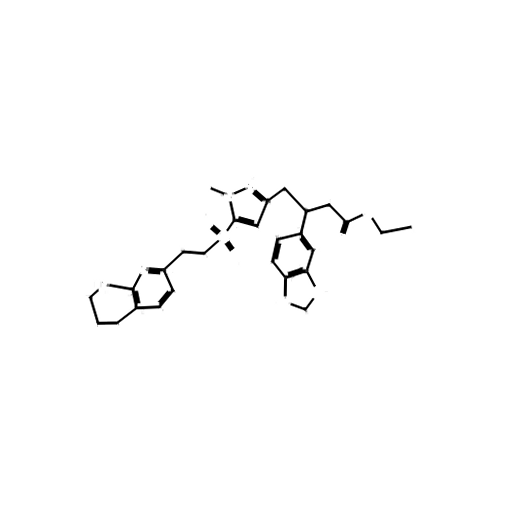 CCOC(=O)CC(Cc1cc(S(=O)(=O)CCc2ccc3c(n2)NCCC3)n(C)n1)c1ccc2c(c1)OCO2